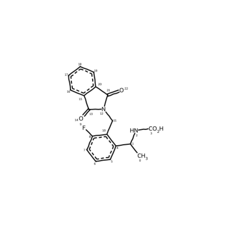 CC(NC(=O)O)c1cccc(F)c1CN1C(=O)c2ccccc2C1=O